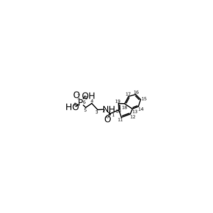 O=C(NCCCP(=O)(O)O)c1ccc2ccccc2c1